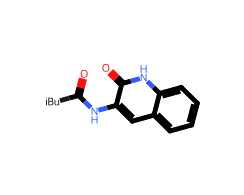 CCC(C)C(=O)Nc1cc2ccccc2[nH]c1=O